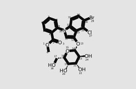 COC(=O)c1ccccc1-n1cc(O[C@H]2O[C@@H](CO)[C@@H](O)[C@@H](O)[C@@H]2O)c2c(Cl)c(Br)ccc21